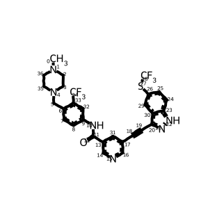 CN1CCN(Cc2ccc(NC(=O)c3cncc(C#Cc4n[nH]c5ccc(SC(F)(F)F)cc45)c3)cc2C(F)(F)F)CC1